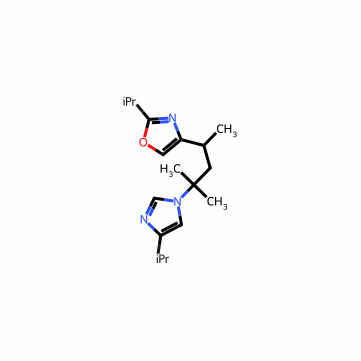 CC(C)c1cn(C(C)(C)CC(C)c2coc(C(C)C)n2)cn1